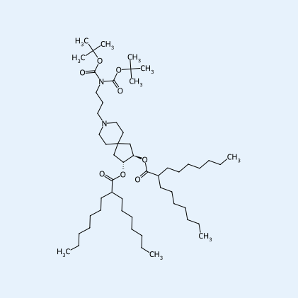 CCCCCCCC(CCCCCCC)C(=O)O[C@@H]1CC2(CCN(CCCN(C(=O)OC(C)(C)C)C(=O)OC(C)(C)C)CC2)C[C@H]1OC(=O)C(CCCCCCC)CCCCCCC